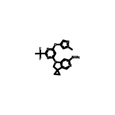 CC(=O)Nc1cc2c(cn1)C1(CC1)CN2c1cc(Oc2cnn(C)c2)nc(C(C)(F)F)n1